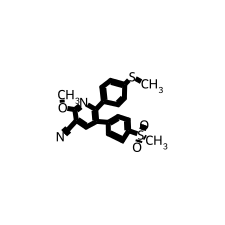 COc1nc(-c2ccc(SC)cc2)c(-c2ccc(S(C)(=O)=O)cc2)cc1C#N